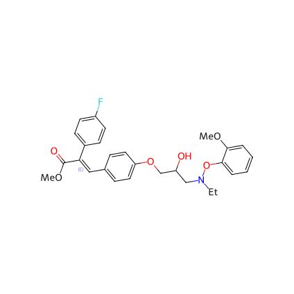 CCN(CC(O)COc1ccc(/C=C(/C(=O)OC)c2ccc(F)cc2)cc1)Oc1ccccc1OC